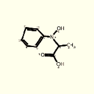 CC(C(=O)O)N(O)c1ccccc1